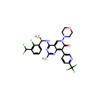 Cc1nc(N[C@H](C)c2cccc(C(F)F)c2F)c2cn(N3CCOCC3)c(=O)c(-c3ccc(C(F)(F)F)nc3)c2n1